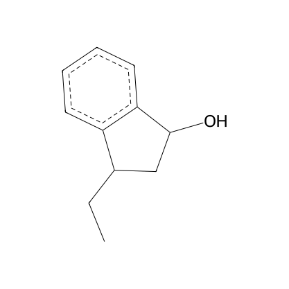 CCC1CC(O)c2ccccc21